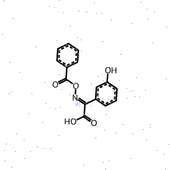 O=C(O)/C(=N/OC(=O)c1ccccc1)c1cccc(O)c1